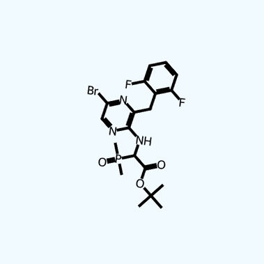 CC(C)(C)OC(=O)C(Nc1ncc(Br)nc1Cc1c(F)cccc1F)P(C)(C)=O